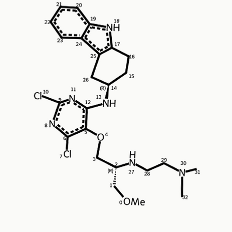 COC[C@H](COc1c(Cl)nc(Cl)nc1N[C@@H]1CCc2[nH]c3ccccc3c2C1)NCCN(C)C